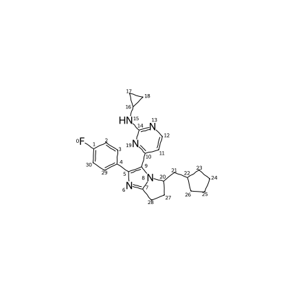 Fc1ccc(-c2nc3n(c2-c2ccnc(NC4CC4)n2)C(CC2CCCC2)CC3)cc1